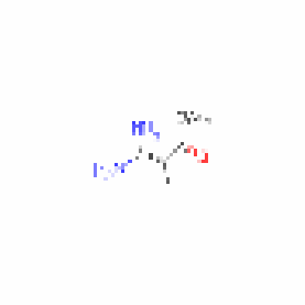 COC(=O)C(C)=C(N)N